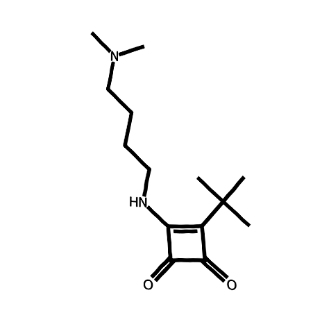 CN(C)CCCCNc1c(C(C)(C)C)c(=O)c1=O